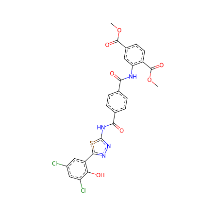 COC(=O)c1ccc(C(=O)OC)c(NC(=O)c2ccc(C(=O)Nc3nnc(-c4cc(Cl)cc(Cl)c4O)s3)cc2)c1